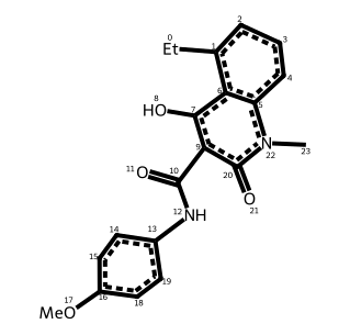 CCc1cccc2c1c(O)c(C(=O)Nc1ccc(OC)cc1)c(=O)n2C